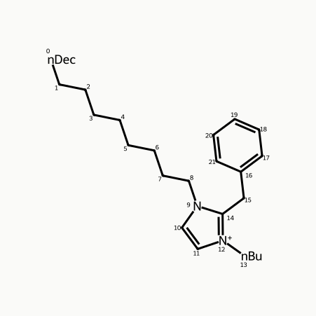 CCCCCCCCCCCCCCCCCCn1cc[n+](CCCC)c1Cc1ccccc1